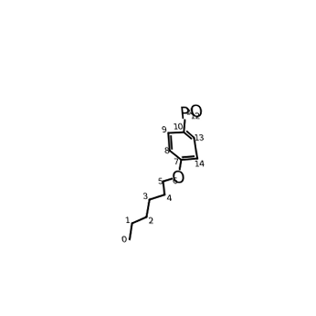 CCCCCCOc1ccc(P=O)cc1